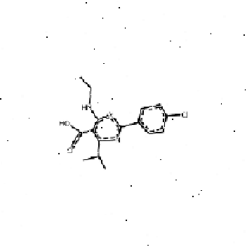 CCNc1nc(-c2ccc(Cl)cc2)nc(C(C)C)c1C(=O)O